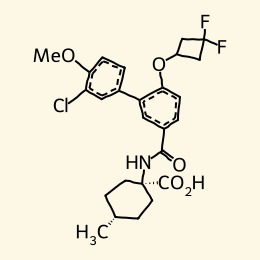 COc1ccc(-c2cc(C(=O)N[C@]3(C(=O)O)CC[C@@H](C)CC3)ccc2OC2CC(F)(F)C2)cc1Cl